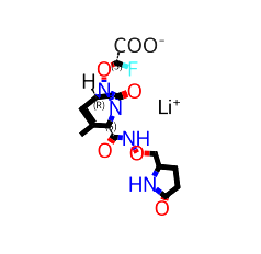 CC1=C[C@@H]2CN(C(=O)N2O[C@@H](F)C(=O)[O-])[C@@H]1C(=O)NOCC1CCC(=O)N1.[Li+]